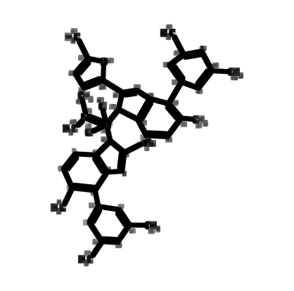 CCCCC1=Cc2c(ccc(C)c2-c2cc(C)cc(C)c2)[CH]1[Zr]([Cl])([Cl])([CH]1C(c2ccc(C)o2)=Cc2c1ccc(C)c2-c1cc(C)cc(C)c1)=[Si](C)C